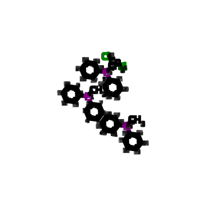 CP(c1ccccc1)c1ccccc1.CP(c1ccccc1)c1ccccc1.CP(c1ccccc1)c1ccccc1.[Cl][Co][Cl]